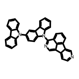 c1cc2c3c(cnc(-n4c5ccccc5c5cc(-n6c7ccccc7c7ccccc76)ccc54)c3c1)-c1ccncc1-2